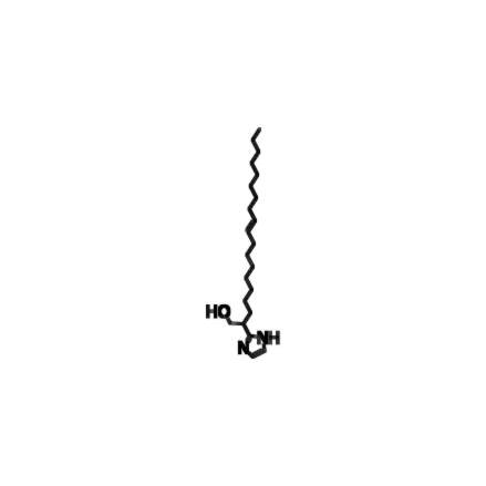 CCCCCCCC/C=C/CCCCCCCC(CO)c1ncc[nH]1